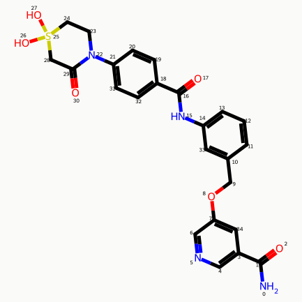 NC(=O)c1cncc(OCc2cccc(NC(=O)c3ccc(N4CCS(O)(O)CC4=O)cc3)c2)c1